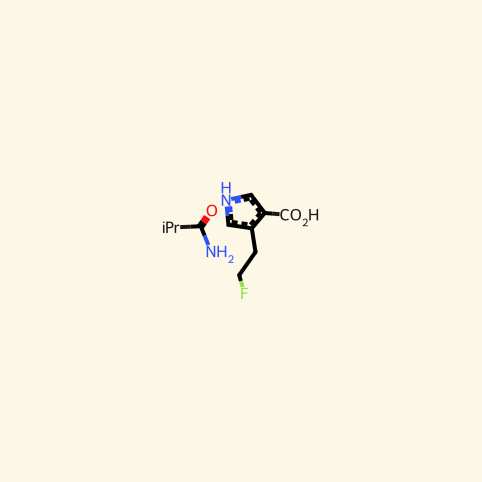 CC(C)C(N)=O.O=C(O)c1c[nH]cc1CCF